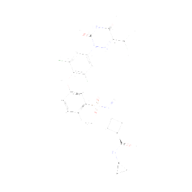 C=[N+]([C@H]1C[C@H](C(=O)NC2CC2)C1)S(=O)(=O)c1cc(Oc2c(Cl)cc(-n3nc(C(F)F)c(=O)[nH]c3=O)cc2Cl)ccc1OC